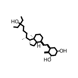 C=C1/C(=C\C=C2/CCC[C@]3(C)[C@@H]([C@H](C)CCCC(O)(CC)CC)CC[C@@H]23)C[C@@H](O)C[C@@H]1O